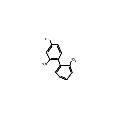 [CH2]c1ccc(-c2ccccc2[N+](=O)[O-])c([N+](=O)[O-])c1